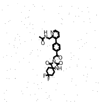 CC(=O)NCc1ncccc1-c1ccc(C(=O)CN2C(=O)NC3(CCC(F)(F)CC3)C2=O)cc1